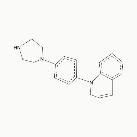 C1=Cc2ccccc2N(c2ccc(N3CCNCC3)cc2)C1